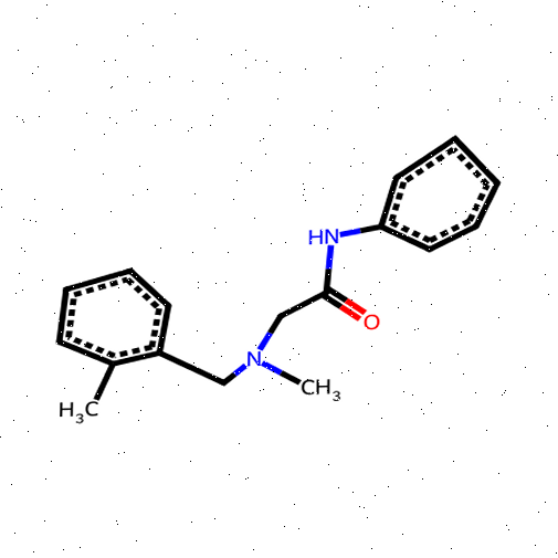 Cc1ccccc1CN(C)CC(=O)Nc1ccccc1